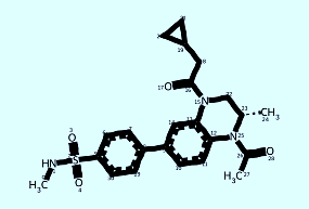 CNS(=O)(=O)c1ccc(-c2ccc3c(c2)N(C(=O)CC2CC2)C[C@H](C)N3C(C)=O)cc1